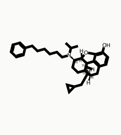 CC(C)N(CCCCCCc1ccccc1)[C@@H]1CC[C@@]2(O)[C@H]3Cc4ccc(O)c5c4[C@@]2(CCN3CC2CC2)[C@H]1O5